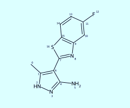 Cc1[nH]nc(N)c1-c1nc2cc(F)[c]cc2s1